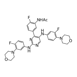 CC(=O)Nc1cc(-c2nc(Nc3ccc(F)c(N4CCOCC4)c3)ncc2Nc2ccc(N3CCOCC3)c(F)c2)ccc1F